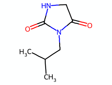 CC(C)CN1C(=O)CNC1=O